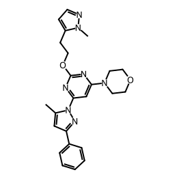 Cc1cc(-c2ccccc2)nn1-c1cc(N2CCOCC2)nc(OCCc2ccnn2C)n1